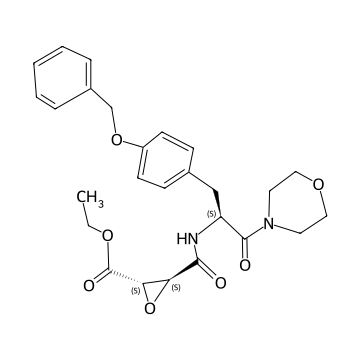 CCOC(=O)[C@H]1O[C@@H]1C(=O)N[C@@H](Cc1ccc(OCc2ccccc2)cc1)C(=O)N1CCOCC1